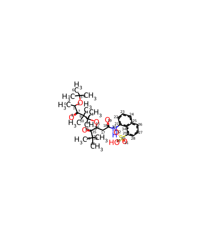 CC(OC(C)(C)C)C(=O)C(C)(C)C(C)(C)OC(CC(=O)Nc1cccc2cccc(S(=O)(=O)O)c12)C(=O)C(C)(C)C